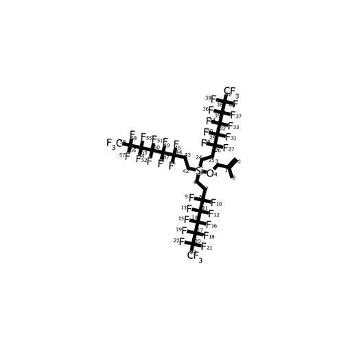 C=C(C)CO[Si](CCC(F)(F)C(F)(F)C(F)(F)C(F)(F)C(F)(F)C(F)(F)F)(CCC(F)(F)C(F)(F)C(F)(F)C(F)(F)C(F)(F)C(F)(F)F)CCC(F)(F)C(F)(F)C(F)(F)C(F)(F)C(F)(F)C(F)(F)F